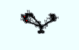 O=C(CCOCC(COCCC(=O)NCCCCCCOC[C@@]12CO[C@@H](O1)[C@H](Nc1cncc(C(F)(F)F)n1)[C@@H](O)[C@H]2O)(COCCC(=O)NCCCCCCOC[C@@]12CO[C@@H](O1)[C@H](Nc1cncc(C(F)(F)F)n1)[C@@H](O)[C@H]2O)NC(=O)OCC1c2ccccc2-c2ccccc21)NCCCCCCOC[C@@]12CO[C@@H](O1)[C@H](Nc1cncc(C(F)(F)F)n1)[C@@H](O)[C@H]2O